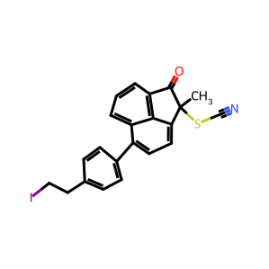 CC1(SC#N)C(=O)c2cccc3c(-c4ccc(CCI)cc4)ccc1c23